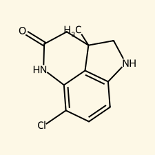 CC12CNc3ccc(Cl)c(c31)NC(=O)C2